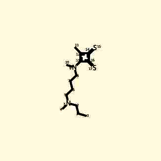 CCCN(C)CCCCN(C)c1c(C)c(=S)c1=S